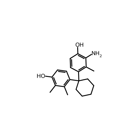 Cc1c(O)ccc(C2(c3ccc(O)c(N)c3C)CCCCC2)c1C